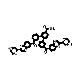 NC(=O)c1ccc(-c2cccc(C(=O)c3ccc4nc(C5CNCCO5)cnc4c3)c2)c(-c2cccc(C(=O)c3ccc4nc(C5CNCCO5)cnc4c3)c2)c1